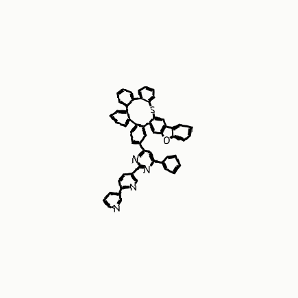 c1ccc(-c2cc(-c3ccc4c(c3)-c3cc5oc6ccccc6c5cc3Sc3ccccc3-c3ccccc3-c3ccccc3-4)nc(-c3ccc(-c4cccnc4)nc3)n2)cc1